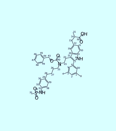 Cc1cc(C)cc(-c2[nH]c3ccc(CC(C)C(=O)O)cc3c2CCN(CCCCc2ccc(NS(C)(=O)=O)cc2)C(=O)OCc2ccccc2)c1